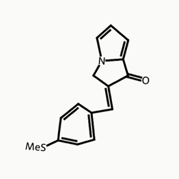 CSc1ccc(C=C2Cn3cccc3C2=O)cc1